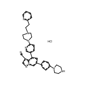 Cl.N#Cc1cnn2cc(-c3ccc(N4CCNCC4)cc3)cc(-c3ccc(N4CCN(CCc5ccccn5)CC4)nc3)c12